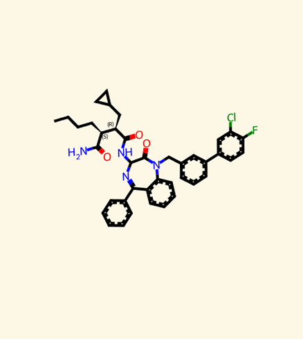 CCCC[C@H](C(N)=O)[C@@H](CC1CC1)C(=O)NC1N=C(c2ccccc2)c2ccccc2N(Cc2cccc(-c3ccc(F)c(Cl)c3)c2)C1=O